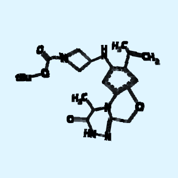 C=C(C)c1cc2c(cc1NC1CN(C(=O)OC(C)(C)C)C1)N1C(=NNC(=O)C1C)CO2